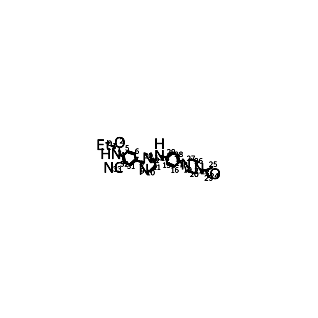 CCC(=O)Nc1ccc(-c2nccc(Nc3ccc(N4CCN(C5COC5)CC4)cc3)n2)cc1C#N